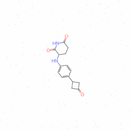 O=C1CC(c2ccc(NC3CCC(=O)NC3=O)cc2)C1